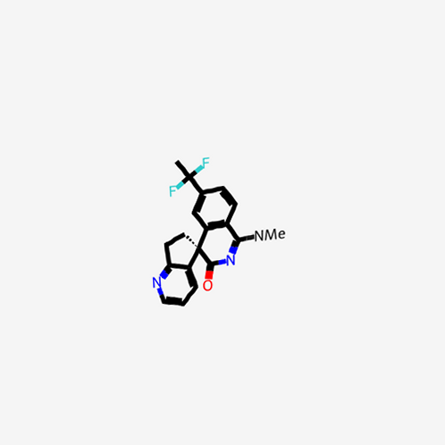 CNC1=NC(=O)[C@]2(CCc3ncccc32)c2cc(C(C)(F)F)ccc21